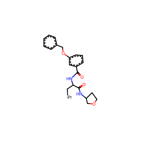 CC(C)CC(NC(=O)c1cccc(OCc2ccccc2)c1)C(=O)NC1CCOC1